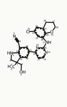 CC1(CO)CNc2c(C#N)cc(-c3ccnc(Nc4cc(Cl)cc5c4OCCC5)n3)cc21